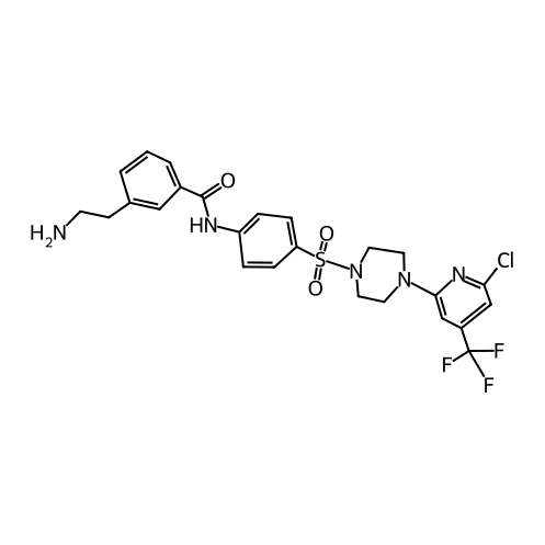 NCCc1cccc(C(=O)Nc2ccc(S(=O)(=O)N3CCN(c4cc(C(F)(F)F)cc(Cl)n4)CC3)cc2)c1